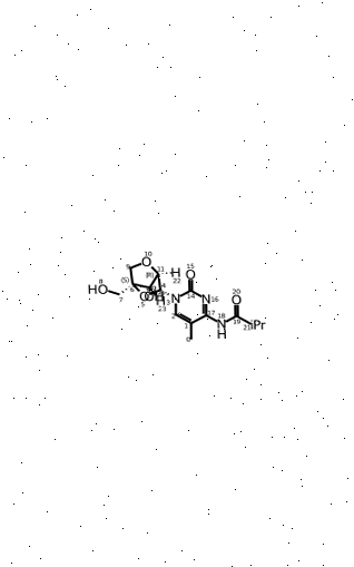 Cc1cn([C@@H]2O[C@@]3(CO)CO[C@@H]2[C@@H]3O)c(=O)nc1NC(=O)C(C)C